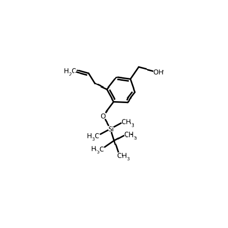 C=CCc1cc(CO)ccc1O[Si](C)(C)C(C)(C)C